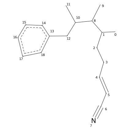 CC(CCC=CC#N)C(C)C(C)Cc1ccccc1